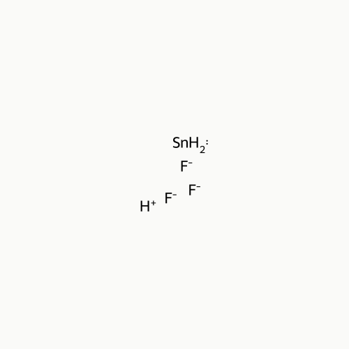 [F-].[F-].[F-].[H+].[SnH2]